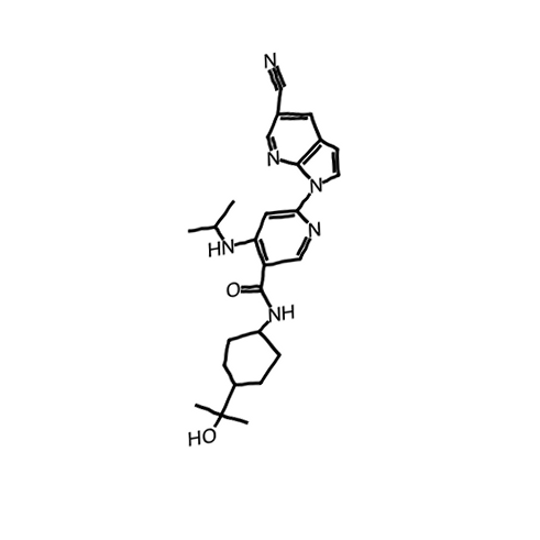 CC(C)Nc1cc(-n2ccc3cc(C#N)cnc32)ncc1C(=O)NC1CCC(C(C)(C)O)CC1